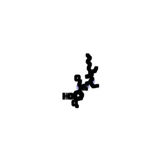 C=C(\C=C(/C=N/C(=C\C=O)c1ccc(OC)c(O)c1)CC)N(CC)CCCCC